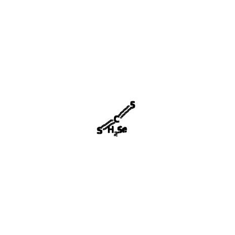 S=C=S.[SeH2]